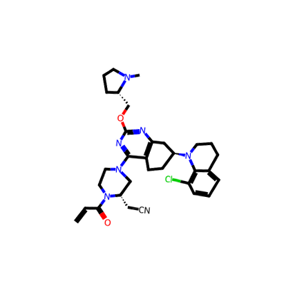 C=CC(=O)N1CCN(c2nc(OC[C@@H]3CCCN3C)nc3c2CC[C@H](N2CCCc4cccc(Cl)c42)C3)C[C@@H]1CC#N